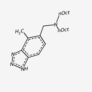 CCCCCCCCN(CCCCCCCC)Cc1ccc2[nH]nnc2c1C